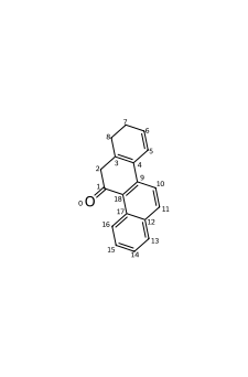 O=C1CC2=C(C=CCC2)c2ccc3ccccc3c21